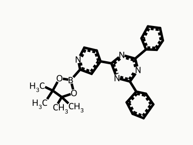 CC1(C)OB(c2cc(-c3nc(-c4ccccc4)nc(-c4ccccc4)n3)ccn2)OC1(C)C